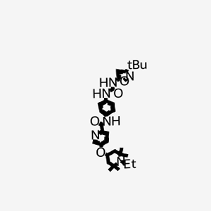 CCN1C(C)(C)CC(Oc2ccc(C(=O)Nc3ccc(NC(=O)Nc4cc(C(C)(C)C)no4)cc3)nc2)CC1(C)C